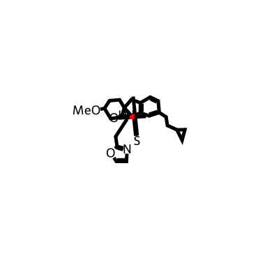 COC1CCC2(CC1)Cc1ccc(CCC3CC3)cc1C21NC(=S)N(Cc2ncco2)C1=O